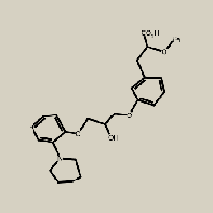 CC(C)OC(Cc1cccc(OCC(O)COc2ccccc2N2CCCCC2)c1)C(=O)O